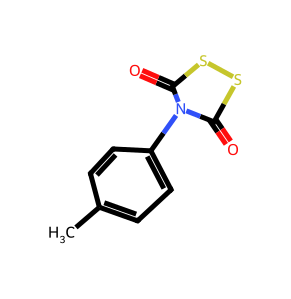 Cc1ccc(-n2c(=O)ssc2=O)cc1